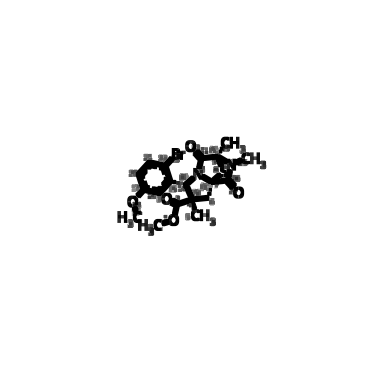 COC(=O)[C@@]1(C)C[C@@]23S[C@@](C)(C(=O)N2[C@H]1c1cc(OC)ccc1Br)N(C)C3=O